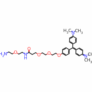 CN(C)c1ccc(C(=C2C=CC(=[N+](C)C)C=C2)c2ccc(OCCOCCOCCC(=O)NCCOCCN)cc2)cc1